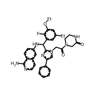 CCOc1cc(CC)cc(C(Nc2ccc3c(N)nccc3c2)c2nc(-c3ccccc3)cn2CC(=O)N2CCNC(=O)C2)c1F